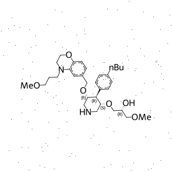 CCCCc1ccc([C@@H]2[C@@H](OCc3ccc4c(c3)N(CCCOC)CCO4)CNC[C@H]2OC[C@H](O)COC)cc1